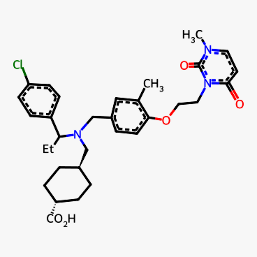 CCC(c1ccc(Cl)cc1)N(Cc1ccc(OCCn2c(=O)ccn(C)c2=O)c(C)c1)C[C@H]1CC[C@H](C(=O)O)CC1